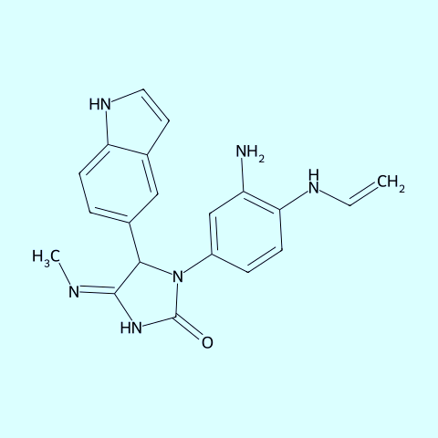 C=CNc1ccc(N2C(=O)N/C(=N/C)C2c2ccc3[nH]ccc3c2)cc1N